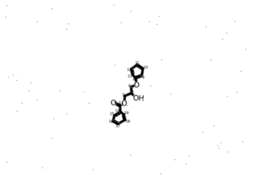 O=C(OCC(O)COc1ccccc1)c1ccccc1